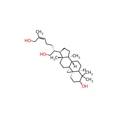 C/C(=C/CC[C@@H](CO)[C@H]1CC[C@@]2(C)[C@@H]3CC[C@H]4C(C)(C)[C@@H](O)CC[C@@]45C[C@]35CC[C@]12C)CO